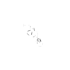 CN1C2CCCC1CC(N1CCc3cn(C)c4cccc(c34)C1=O)C2